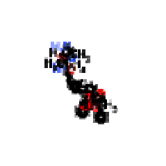 Cc1ccc([C@]23OC[C@](C)(O2)[C@@H](OCc2ccccc2)[C@H](OCc2ccccc2)[C@H]3OCc2ccccc2)cc1Cc1ccc(CCCC(=O)NC(C)(C)C(=O)NC(C)(C)CN)cc1